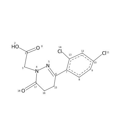 O=C(O)CN1N=C(c2ccc(Cl)cc2Cl)CCC1=O